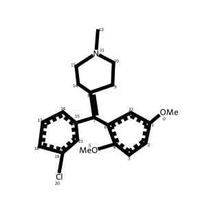 COc1ccc(OC)c(C(=C2CCN(C)CC2)c2cccc(Cl)c2)c1